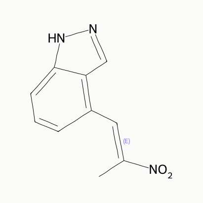 C/C(=C\c1cccc2[nH]ncc12)[N+](=O)[O-]